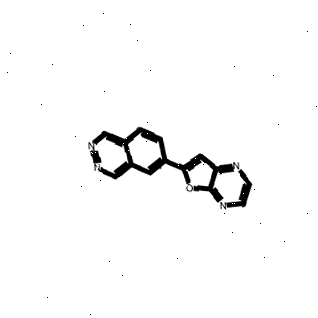 c1cnc2oc(-c3ccc4cnncc4c3)cc2n1